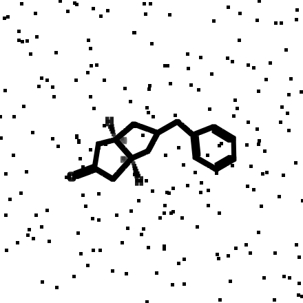 O=C1C[C@@H]2CC(Cc3ccccc3)C[C@@H]2C1